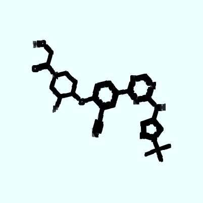 CC(C)(C)n1cc(Nc2ncnc(-c3ccc(OC4CCN(C(=O)CO)CC4F)c(C#N)c3)n2)cn1